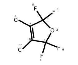 FC1(F)OC(F)(F)C(Cl)=C1Cl